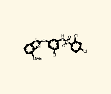 COc1cccc2sc(Oc3cc(Cl)cc(NS(=O)(=O)c4ccc(Cl)cc4Cl)c3)nc12